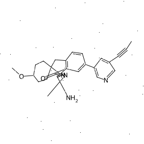 CC#Cc1cncc(-c2ccc3c(c2)C2(N=C(N)N(C)C2=O)C2(CCC(OC)CC2)C3)c1